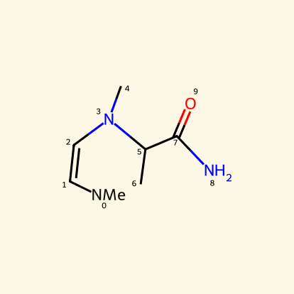 CN/C=C\N(C)C(C)C(N)=O